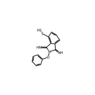 N=C1c2cccc(SS)c2C(=N)N1Oc1ccccc1